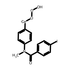 CN(C(=O)c1ccc(I)cc1)c1cc[c]([Ge][O]OO)cc1